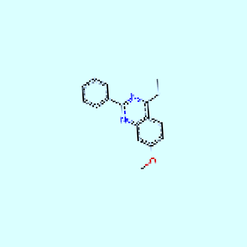 CCc1nc(-c2ccccc2)nc2cc(OC)ccc12